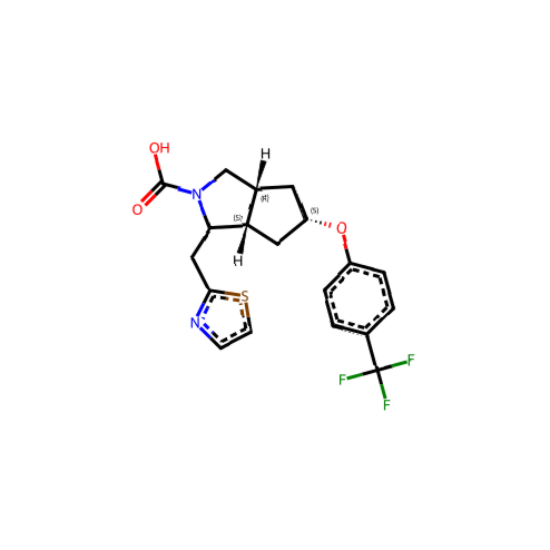 O=C(O)N1C[C@@H]2C[C@H](Oc3ccc(C(F)(F)F)cc3)C[C@@H]2C1Cc1nccs1